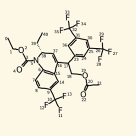 CCOC(=O)N1c2ccc(C(F)(F)F)cc2C(C(COC(C)=O)c2cc(C(F)(F)F)cc(C(F)(F)F)c2)=C[C@H]1CC